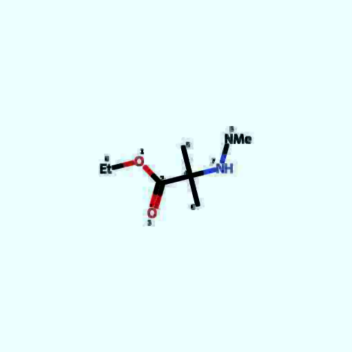 CCOC(=O)C(C)(C)NNC